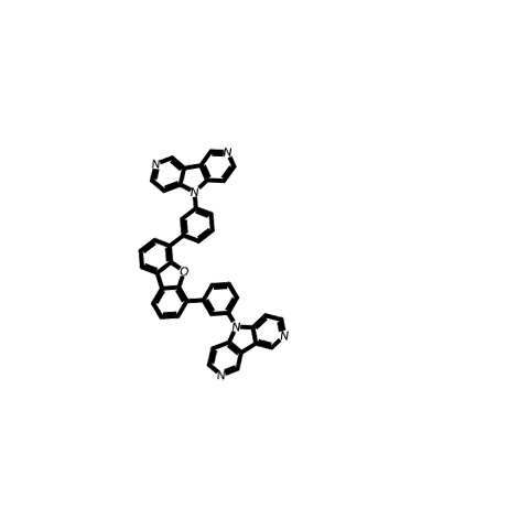 c1cc(-c2cccc3c2oc2c(-c4cccc(-n5c6ccncc6c6cnccc65)c4)cccc23)cc(-n2c3ccncc3c3cnccc32)c1